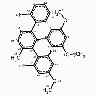 COc1cc(OC)cc(-c2c(-c3ccccc3F)nnc(C)c2-c2c(F)cc(OC)cc2F)c1